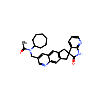 CC(C)(C)C(=O)N(Cc1cnc2cc3c(cc2c1)CC1(C3)C(=O)Nc2ncccc21)C1CCCCCC1